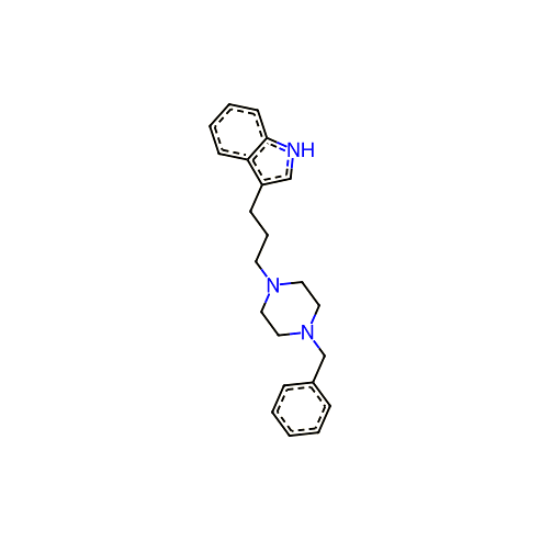 c1ccc(CN2CCN(CCCc3c[nH]c4ccccc34)CC2)cc1